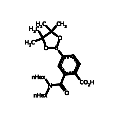 CCCCCCN(CCCCCC)C(=O)c1cc(B2OC(C)(C)C(C)(C)O2)ccc1C(=O)O